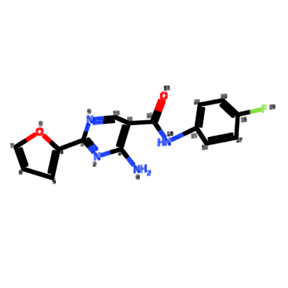 Nc1nc(-c2ccco2)ncc1C(=O)Nc1ccc(F)cc1